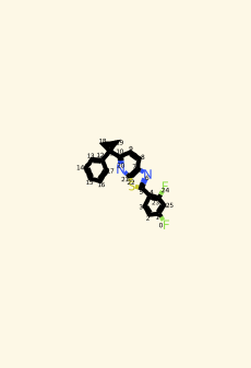 Fc1ccc(-c2nc3ccc(C4(c5ccccc5)C=C4)nc3s2)c(F)c1